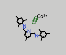 Cc1cc(C=Nc2c(C)cc(C)cc2C)nc(C=Nc2c(C)cc(C)cc2C)c1.[Cl-].[Cl-].[Cl-].[Co+3]